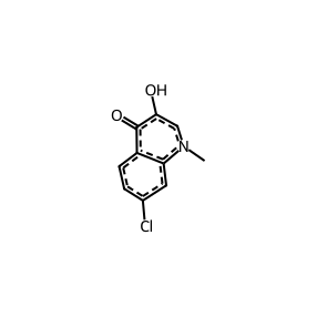 Cn1cc(O)c(=O)c2ccc(Cl)cc21